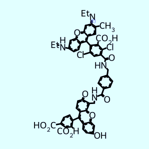 CC/N=c1\cc2oc3cc(NCC)ccc3c(-c3c(Cl)cc(C(=O)NCc4ccc(C(=O)NCc5c6oc7cc(O)ccc7c(-c7ccc(C(=O)O)cc7C(=O)O)c-6ccc5=O)cc4)c(Cl)c3C(=O)O)c-2cc1C